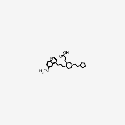 COc1ccc2nccc(CCC[C@@H]3CCN(CCC4CCCC4)C[C@@H]3CCC(=O)O)c2c1